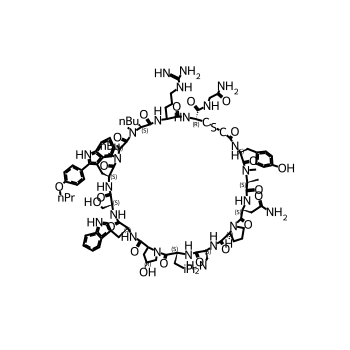 CCCC[C@H]1C(=O)N(C)[C@@H](CCCC)C(=O)NC(CCCNC(=N)N)C(=O)N[C@H](C(=O)NCC(N)=O)CSCC(=O)N[C@@H](Cc2ccc(O)cc2)C(=O)N(C)[C@@H](C)C(=O)N[C@@H](CC(N)=O)C(=O)N2CCC[C@H]2C(=O)N[C@@H](CN)C(=O)N[C@@H](CC(C)C)C(=O)N2C[C@H](O)CC2C(=O)N[C@@H](Cc2c[nH]c3ccccc23)C(=O)N[C@@H](CO)C(=O)N[C@@H](Cc2c(-c3ccc(OCCC)cc3)[nH]c3ccccc23)C(=O)N1C